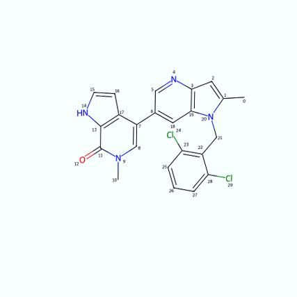 Cc1cc2ncc(-c3cn(C)c(=O)c4[nH]ccc34)cc2n1Cc1c(Cl)cccc1Cl